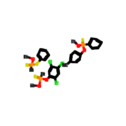 CCOP(=S)(CC)Oc1cc(Cl)c(Cl)cc1Cl.CCOP(=S)(CC)Sc1ccccc1.CCOP(=S)(Oc1ccc(C#N)cc1)c1ccccc1